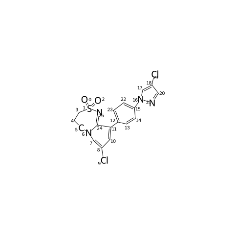 O=S1(=O)CCCN2C=C(Cl)C=C(c3ccc(-n4cc(Cl)cn4)cc3)C2=N1